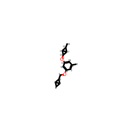 Cc1cc(OCC2C3CC23)cc(OC2C3C(C)C23)c1